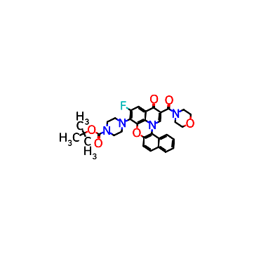 CC(C)(C)OC(=O)N1CCN(c2c(F)cc3c(=O)c(C(=O)N4CCOCC4)cn4c3c2Oc2ccc3ccccc3c2-4)CC1